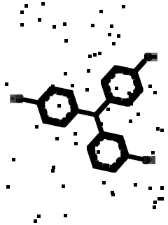 Oc1ccc(C(c2ccc(O)cc2)c2cccc(O)c2)cc1